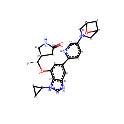 C[C@@H](Oc1cc(-c2ccc(N3CC4CC(C3)O4)cn2)cc2ncn(C3CC3)c12)[C@H]1CNC(=O)C1